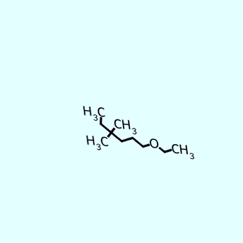 CCOCCCC(C)(C)CC